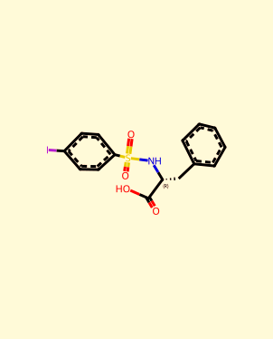 O=C(O)[C@@H](Cc1ccccc1)NS(=O)(=O)c1ccc(I)cc1